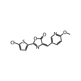 COc1ccc(C=C2N=C(c3ccc(Cl)s3)OC2=O)cn1